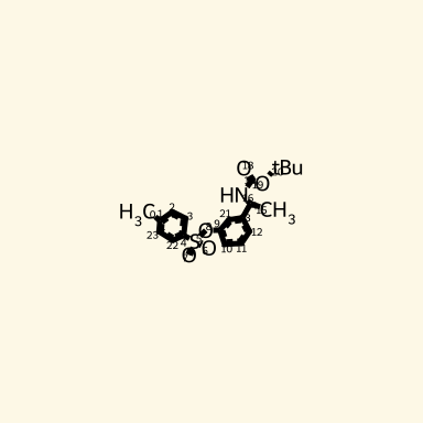 Cc1ccc(S(=O)(=O)Oc2cccc(C(C)NC(=O)OC(C)(C)C)c2)cc1